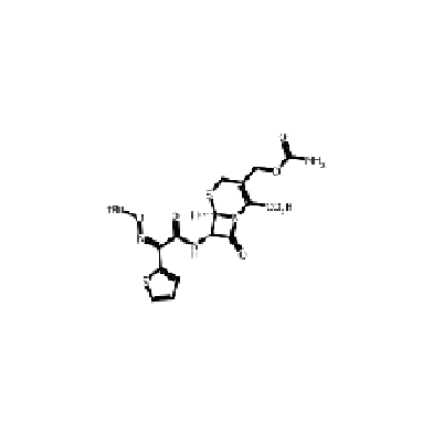 CC(C)(C)O/N=C(\C(=O)N[C@@H]1C(=O)N2C(C(=O)O)=C(COC(N)=O)CS[C@H]12)c1cccs1